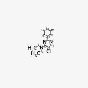 CCN(CC)c1nc(-c2ccccc2)ncc1Cl